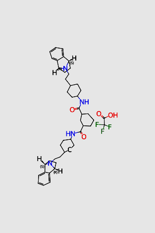 O=C(NC1CCC(CCN2[C@@H]3CC[C@H]2c2ccccc23)CC1)C1CCCC(C(=O)NC2CCC(CCN3[C@@H]4CC[C@H]3c3ccccc34)CC2)C1.O=C(O)C(F)(F)F